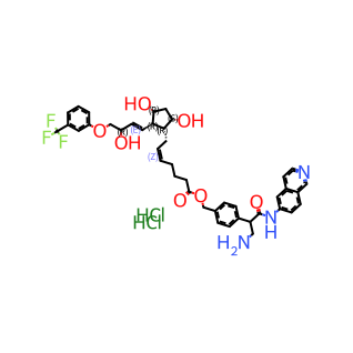 Cl.Cl.NCC(C(=O)Nc1ccc2cnccc2c1)c1ccc(COC(=O)CCC/C=C\C[C@@H]2[C@@H](/C=C/[C@@H](O)COc3cccc(C(F)(F)F)c3)[C@H](O)C[C@@H]2O)cc1